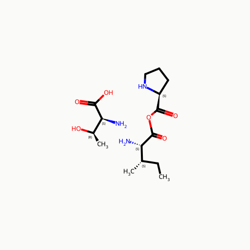 CC[C@H](C)[C@H](N)C(=O)OC(=O)[C@@H]1CCCN1.C[C@@H](O)[C@H](N)C(=O)O